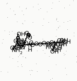 CC(C)[C@H](NC(=O)[C@H](CCCCNC(=O)OCCOCCOCCOCCOCCOCCN(C[C@H](O)[C@@H](O)[C@H](O)[C@H](O)CO)C[C@H](O)[C@@H](O)[C@H](O)[C@H](O)CO)NC(=O)CCCCCN1C(=O)C=CC1=O)C(=O)N[C@@H](CCCNC(N)=O)C(=O)Nc1ccc(CO)cc1